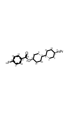 CCC[C@H]1CC[C@H]([C@H]2CC[C@H](OC(=O)c3ccc(F)cc3)CC2)CC1